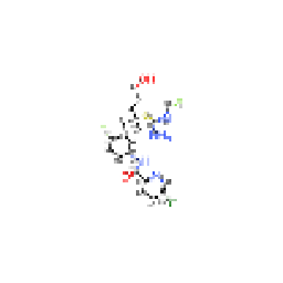 C[C@](CCCO)(Cc1cc(NC(=O)c2ccc(Cl)cn2)ccc1F)S/C(N)=N\CF